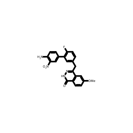 COc1ccc2c(=O)[nH]nc(Cc3ccc(F)c(-c4ccc(N)c([N+](=O)[O-])c4)c3)c2c1